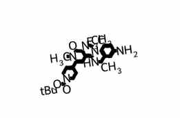 Cc1nc(N[C@H](C)c2cc(N)cc(C(F)(F)F)c2)c2cc(C3=CCN(C(=O)OC(C)(C)C)CC3)n(C)c(=O)c2n1